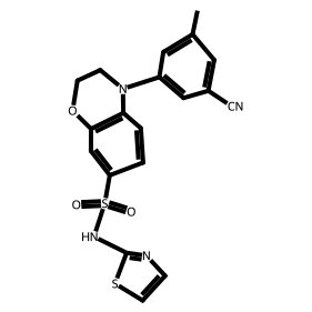 Cc1cc(C#N)cc(N2CCOc3cc(S(=O)(=O)Nc4nccs4)ccc32)c1